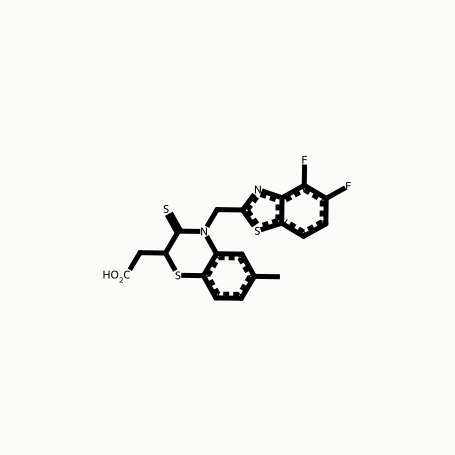 Cc1ccc2c(c1)N(Cc1nc3c(F)c(F)ccc3s1)C(=S)C(CC(=O)O)S2